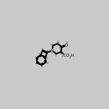 O=C(O)C1CN(C2=Cc3ccccc32)CCC1=O